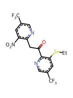 CCSc1cc(C(F)(F)F)cnc1C(=O)Cc1ncc(C(F)(F)F)cc1[N+](=O)[O-]